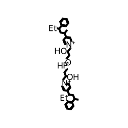 CCC(CC(C)c1cc[n+](CC(O)CCOPCCC(O)C[n+]2ccc(C(CC)CC(C)c3ccccc3)cc2)cc1)c1ccccc1